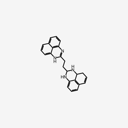 C1=Cc2cccc3c2C(C1)NC(CCC1=Nc2cccc4cccc(c24)N1)N3